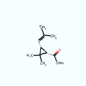 COC(=O)[C@H]1[C@@H](C=C(C)C)C1(C)C